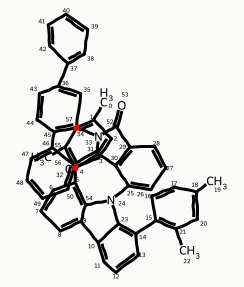 Cc1ccc(-c2cccc3c4cccc(-c5ccc(C)cc5C)c4n(-c4cccc5c4C(=O)N(c4cc(-c6ccccc6)ccc4-c4ccccc4)C5=O)c23)c(C)c1